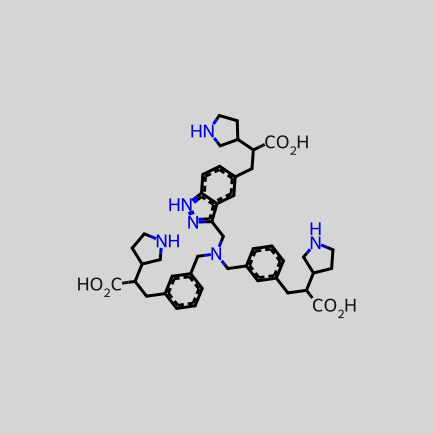 O=C(O)C(Cc1cccc(CN(Cc2cccc(CC(C(=O)O)C3CCNC3)c2)Cc2n[nH]c3ccc(CC(C(=O)O)C4CCNC4)cc23)c1)C1CCNC1